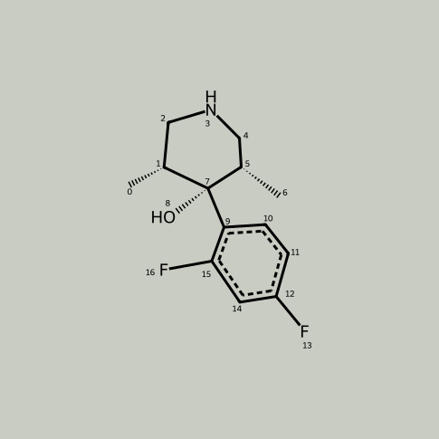 C[C@@H]1CNC[C@H](C)[C@@]1(O)c1ccc(F)cc1F